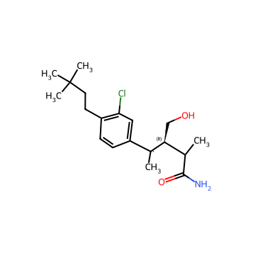 C[C](c1ccc(CCC(C)(C)C)c(Cl)c1)[C@@H](CO)C(C)C(N)=O